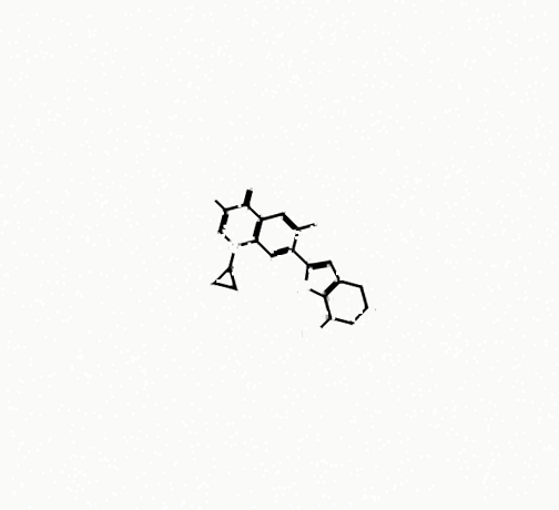 O=C(O)c1cn(C2CC2)c2cc(-c3cc4c(s3)C(O)CCC4)c(F)cc2c1=O